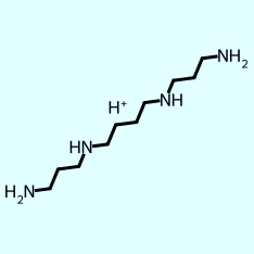 NCCCNCCCCNCCCN.[H+]